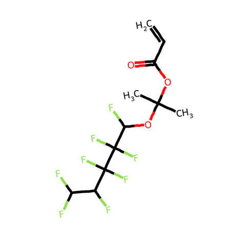 C=CC(=O)OC(C)(C)OC(F)C(F)(F)C(F)(F)C(F)C(F)F